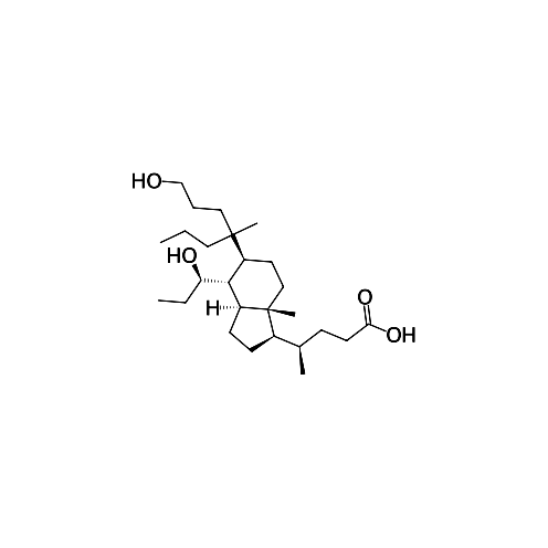 CCCC(C)(CCCO)[C@H]1CC[C@]2(C)[C@@H]([C@H](C)CCC(=O)O)CC[C@H]2[C@@H]1[C@H](O)CC